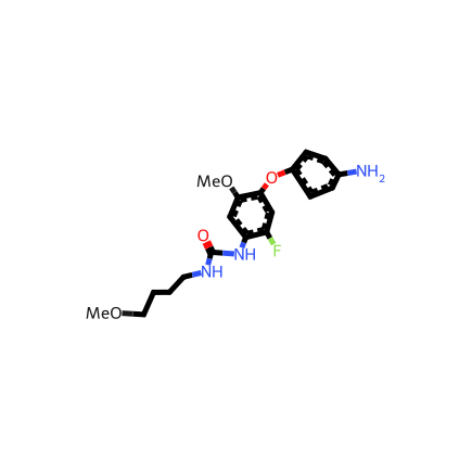 COCCCCNC(=O)Nc1cc(OC)c(Oc2ccc(N)cc2)cc1F